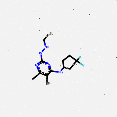 CCCc1c(C)nc(NNCC(C)(C)C)nc1NC1CCC(F)(F)C1